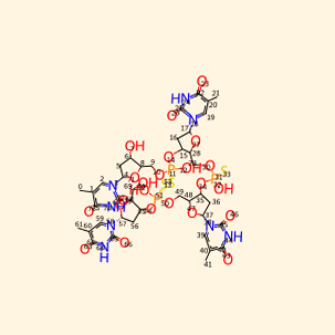 Cc1cn(C2CC(O)C(COP(O)(=S)OC3CC(n4cc(C)c(=O)[nH]c4=O)OC3COP(O)(=S)OC3CC(n4cc(C)c(=O)[nH]c4=O)OC3COP(O)(=S)OC3C[C@H](n4cc(C)c(=O)[nH]c4=O)OC3CO)O2)c(=O)[nH]c1=O